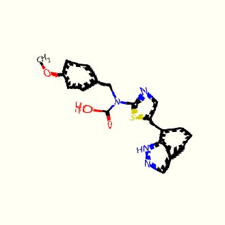 COc1ccc(CN(C(=O)O)c2ncc(-c3cccc4cn[nH]c34)s2)cc1